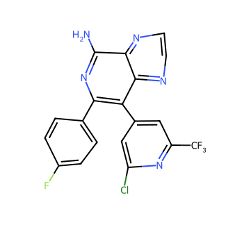 Nc1nc(-c2ccc(F)cc2)c(-c2cc(Cl)nc(C(F)(F)F)c2)c2nccnc12